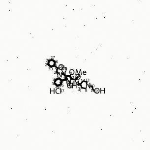 COc1c(C(=O)NC2CCN(CCO)CC2)n(C)c2c1c(=O)n(CC(=O)c1ccccc1)c1ccccc21.Cl